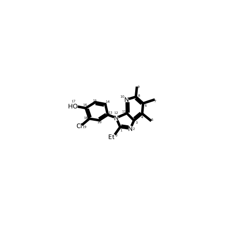 CCc1nc2c(C)c(C)c(C)nc2n1-c1ccc(O)c(Cl)c1